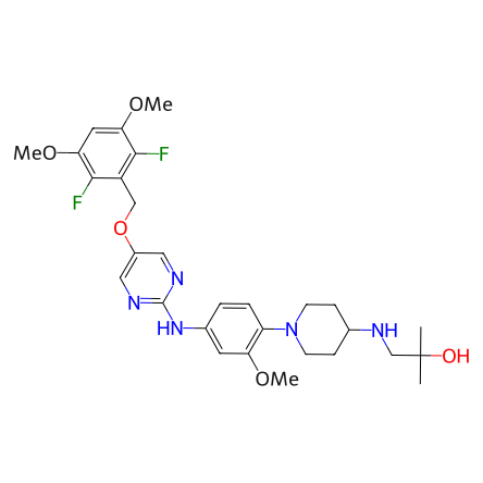 COc1cc(Nc2ncc(OCc3c(F)c(OC)cc(OC)c3F)cn2)ccc1N1CCC(NCC(C)(C)O)CC1